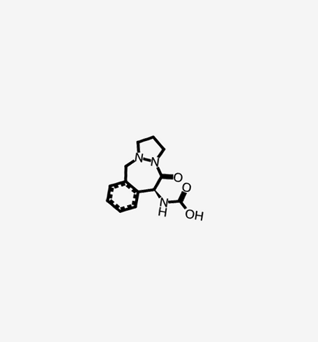 O=C(O)N[C@@H]1C(=O)N2CCCN2Cc2ccccc21